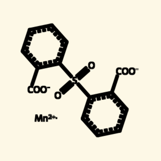 O=C([O-])c1ccccc1S(=O)(=O)c1ccccc1C(=O)[O-].[Mn+2]